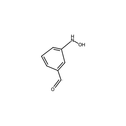 O=[C]c1cccc(NO)c1